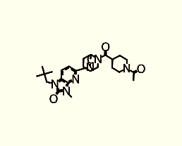 CC(=O)N1CCC(C(=O)N2CC3CCC2CN3c2ccc3c(n2)n(C)c(=O)n3CC(C)(C)C)CC1